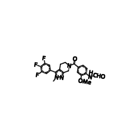 COc1cc(C(=O)N2CCc3c(nn(C)c3-c3cc(F)c(F)c(F)c3)C2)ccc1NC=O